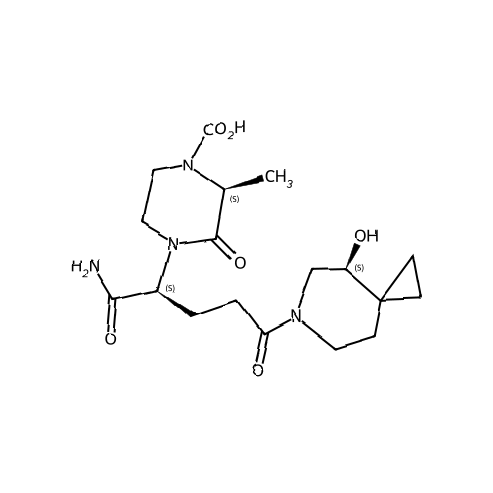 C[C@H]1C(=O)N([C@@H](CCC(=O)N2CCC3(CC3)[C@H](O)C2)C(N)=O)CCN1C(=O)O